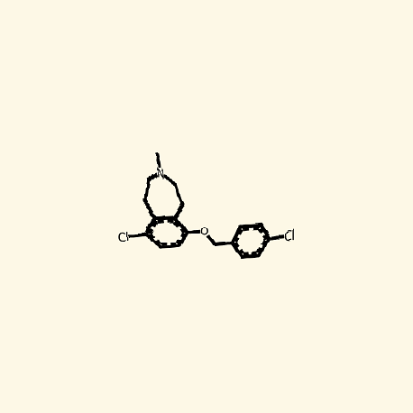 CN1CCc2c(Cl)ccc(OCc3ccc(Cl)cc3)c2CC1